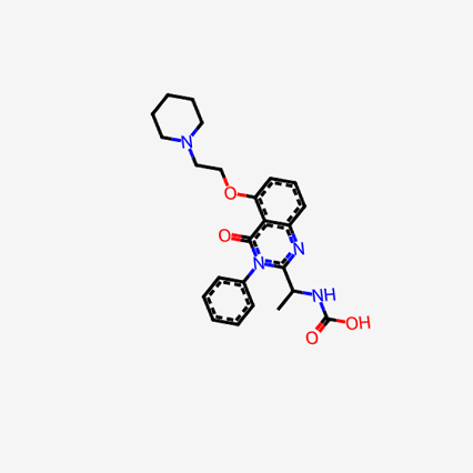 CC(NC(=O)O)c1nc2cccc(OCCN3CCCCC3)c2c(=O)n1-c1ccccc1